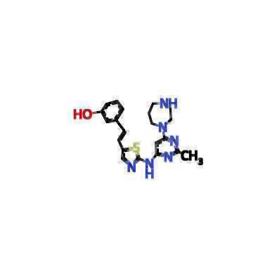 Cc1nc(Nc2ncc(C=Cc3cccc(O)c3)s2)cc(N2CCCNCC2)n1